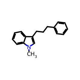 Cn1cc(CCCc2ccccc2)c2ccccc21